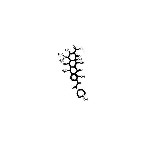 CC1c2ccc(NC(=O)N3CCN(O)CC3)c(O)c2C(=O)C2=C(O)C3(O)C(=O)C(C(N)=O)=C(O)C(N(C)C)C3C(O)C21